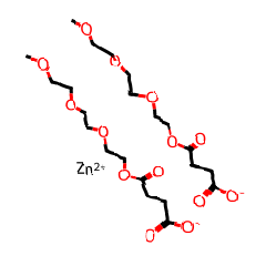 COCCOCCOCCOC(=O)CCC(=O)[O-].COCCOCCOCCOC(=O)CCC(=O)[O-].[Zn+2]